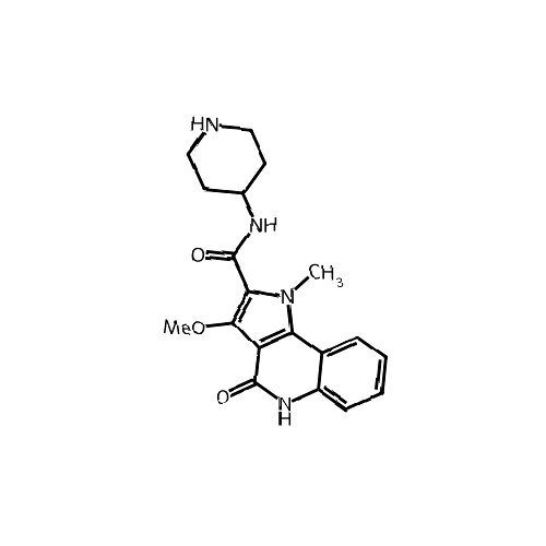 COc1c(C(=O)NC2CCNCC2)n(C)c2c1c(=O)[nH]c1ccccc12